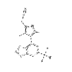 Cc1nn(CC#N)c(C)c1-c1cc(C(F)(F)F)cc2[nH]ncc12